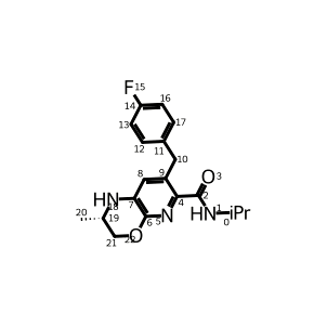 CC(C)NC(=O)c1nc2c(cc1Cc1ccc(F)cc1)N[C@@H](C)CO2